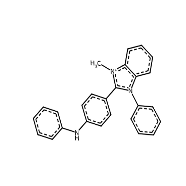 C[n+]1c(-c2ccc(Nc3ccccc3)cc2)n(-c2ccccc2)c2ccccc21